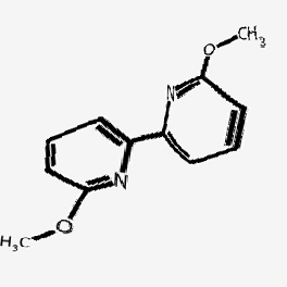 COc1cccc(-c2cccc(OC)n2)n1